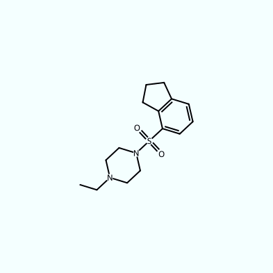 CCN1CCN(S(=O)(=O)c2cccc3c2CCC3)CC1